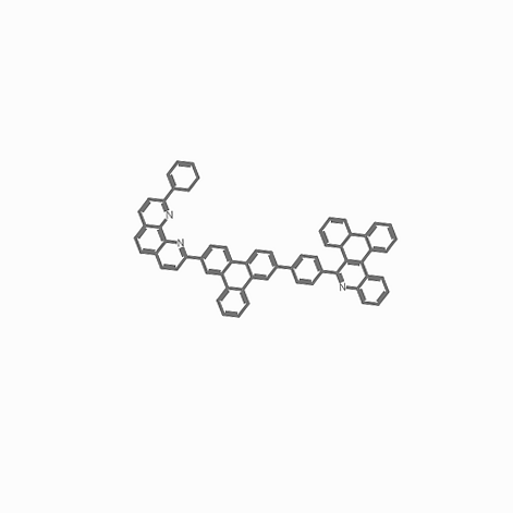 C1=CCCC(c2ccc3ccc4ccc(-c5ccc6c7ccc(-c8ccc(-c9nc%10ccccc%10c%10c9C9C=CC=CC9c9ccccc9-%10)cc8)cc7c7ccccc7c6c5)nc4c3n2)=C1